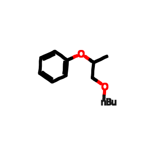 CCCCOCC(C)Oc1ccccc1